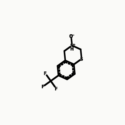 [O-][NH+]1CSc2ccc(C(F)(F)F)cc2C1